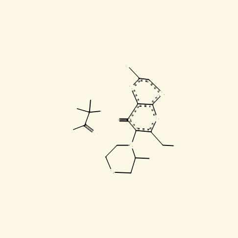 CCc1[nH]c2ncc(Br)nc2c(=O)c1N1CCNCC1C.O=C(O)C(F)(F)F